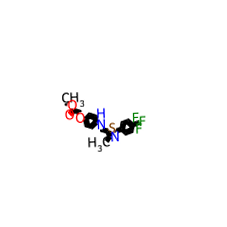 CCOC(=O)COc1ccc(NCc2sc(-c3ccc(C(F)(F)F)cc3)nc2C)cc1